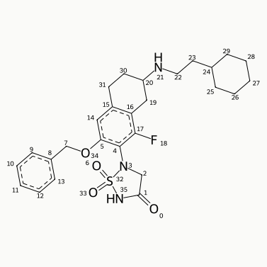 O=C1CN(c2c(OCc3ccccc3)cc3c(c2F)CC(NCCC2CCCCC2)CC3)S(=O)(=O)N1